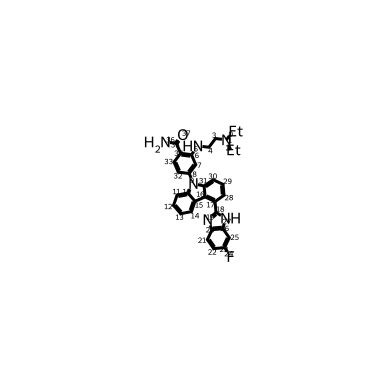 CCN(CC)CCNc1cc(-n2c3ccccc3c3c(-c4nc5ccc(F)cc5[nH]4)cccc32)ccc1C(N)=O